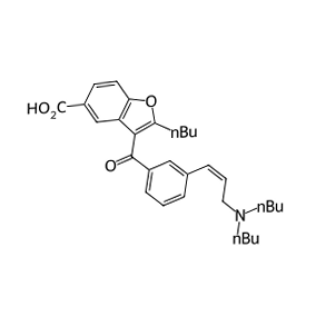 CCCCc1oc2ccc(C(=O)O)cc2c1C(=O)c1cccc(/C=C\CN(CCCC)CCCC)c1